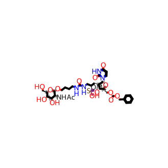 COP(O)(=S)OC1[C@@H](COC(=O)OCc2ccccc2)O[C@@H](n2ccc(=O)[nH]c2=O)[C@H]1CCCNC(=O)NCCCCO[C@@H]1O[C@H](CO)[C@H](O)[C@H](O)[C@H]1NC(C)=O